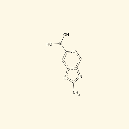 Nc1nc2ccc(B(O)O)cc2o1